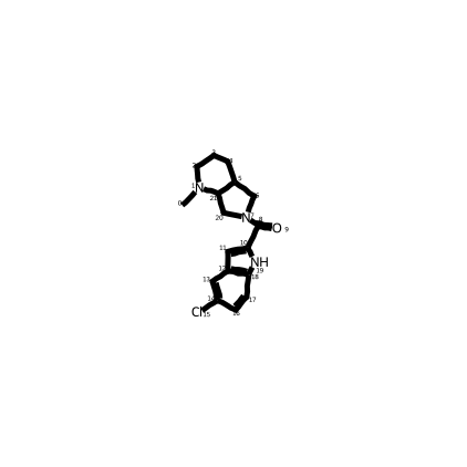 CN1CCCC2CN(C(=O)c3cc4cc(Cl)ccc4[nH]3)CC21